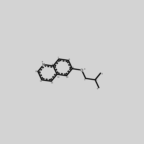 CC(C)COc1ccc2ncccc2c1